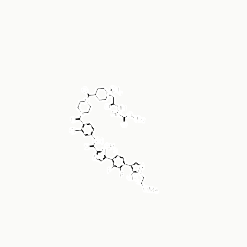 COCCn1ncc(-c2ccc(-c3cnc(C(=O)Nc4ccc(C(=O)N5CCN(C(=O)C6CC[N+](C)(CC(=O)NNC(=O)OC(C)(C)C)CC6)CC5)c(Cl)c4)n3C)c(F)c2F)c1C